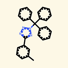 Cc1cccc(-c2nnn(C(c3ccccc3)(c3ccccc3)c3ccccc3)n2)c1